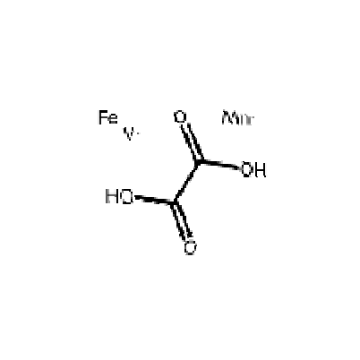 O=C(O)C(=O)O.[Fe].[Mn].[V]